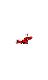 COc1cccc(CC(=O)Nc2cccc(-c3nc4sccn4c3-c3ccnc(Nc4ccc(N5CCS(=O)(=O)CC5)cc4)n3)c2)c1